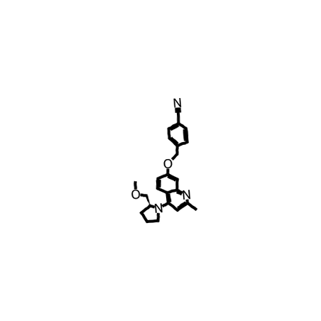 COC[C@@H]1CCCN1c1cc(C)nc2cc(OCc3ccc(C#N)cc3)ccc12